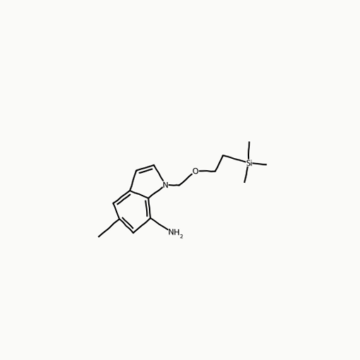 Cc1cc(N)c2c(ccn2COCC[Si](C)(C)C)c1